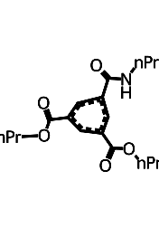 CCCNC(=O)c1cc(C(=O)OCCC)cc(C(=O)OCCC)c1